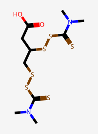 CN(C)C(=S)SSCC(CC(=O)O)SSC(=S)N(C)C